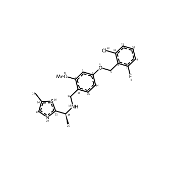 COc1cc(OCc2c(F)cccc2Cl)ccc1CN[C@@H](C)c1ncc(C)s1